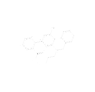 CCCN(Cc1ccccc1)c1cc(N)cc(-c2ccccc2C(=O)OC)n1